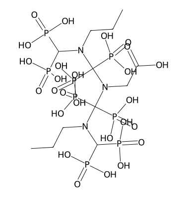 CCCN(C(P(=O)(O)O)P(=O)(O)O)C(N(CC(=O)O)C(N(CCC)C(P(=O)(O)O)P(=O)(O)O)(P(=O)(O)O)P(=O)(O)O)(P(=O)(O)O)P(=O)(O)O